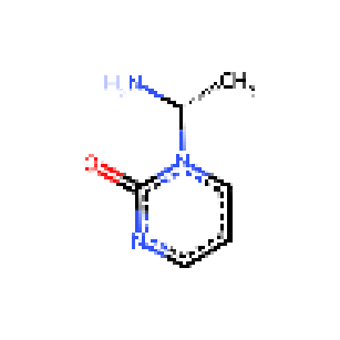 C[C@@H](N)n1cccnc1=O